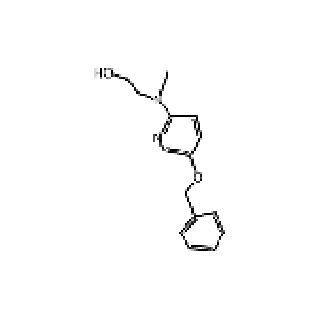 CN(CCO)c1ccc(OCc2ccccc2)cn1